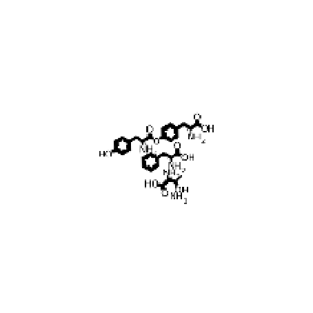 C[C@@H](O)[C@H](N)C(=O)O.N.N[C@@H](Cc1ccc(OC(=O)[C@@H](N)Cc2ccc(O)cc2)cc1)C(=O)O.N[C@@H](Cc1ccccc1)C(=O)O